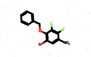 O=[N+]([O-])c1cc(Br)c(OCc2ccccc2)c(F)c1F